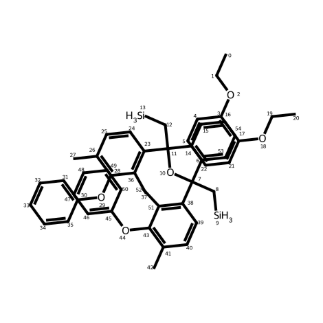 CCOc1ccc(C(C[SiH3])(OC(C[SiH3])(c2ccc(OCC)cc2)c2ccc(C)c(Oc3ccccc3)c2C)c2ccc(C)c(Oc3ccccc3)c2C)cc1